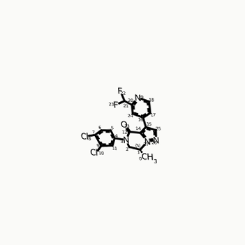 C[C@H]1CN(c2ccc(Cl)c(Cl)c2)C(=O)c2c(-c3ccnc(C(F)F)c3)cnn21